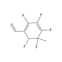 C=CC1=C(F)C(F)=C(F)C(C)(F)C1F